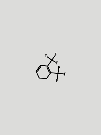 FC(F)(F)C1=C(C(F)(F)F)C[C][C]=C1